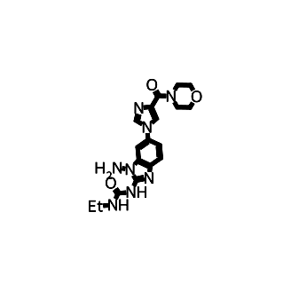 CCNC(=O)Nc1nc2ccc(-n3cnc(C(=O)N4CCOCC4)c3)cc2n1N